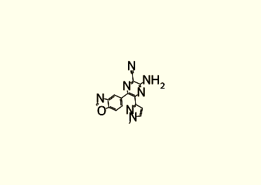 Cn1ccc(-c2nc(N)c(C#N)nc2-c2ccc3ocnc3c2)n1